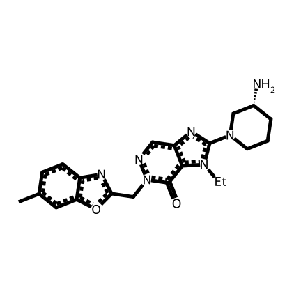 CCn1c(N2CCC[C@@H](N)C2)nc2cnn(Cc3nc4ccc(C)cc4o3)c(=O)c21